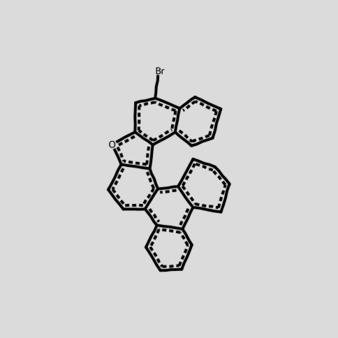 Brc1cc2oc3ccc4c5ccccc5c5ccccc5c4c3c2c2ccccc12